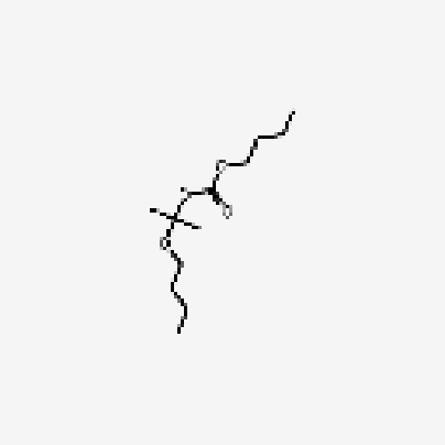 CCCCOC(=O)OC(C)(C)OCCCC